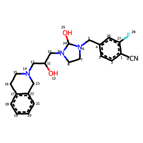 N#Cc1ccc(CN2CCN(CC(O)CN3CCc4ccccc4C3)C2O)cc1F